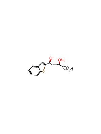 O=C(O)C(O)=CC(=O)c1cc2ccccc2s1